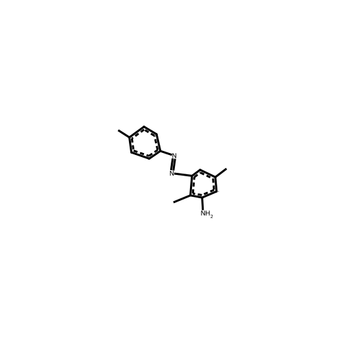 Cc1[c]c(N)c(C)c(N=Nc2ccc(C)cc2)c1